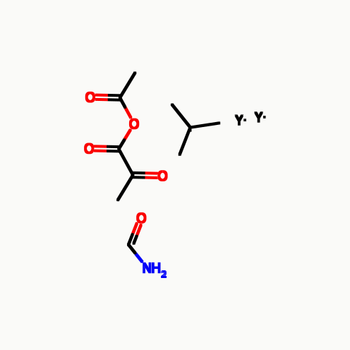 CC(=O)OC(=O)C(C)=O.C[C](C)C.NC=O.[Y].[Y]